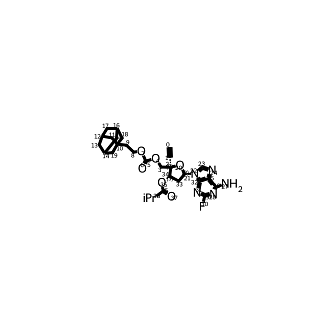 C#C[C@]1(COC(=O)OCCC23CC4CC(CC(C4)C2)C3)O[C@@H](n2cnc3c(N)nc(F)nc32)C[C@@H]1OC(=O)C(C)C